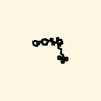 O=S(=O)([O-])CCCC[n+]1ccsc1/N=N/c1ccc(N2CCCC2)cc1